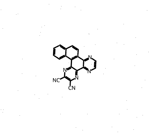 N#Cc1nc2c3nccnc3c3ccc4ccccc4c3c2nc1C#N